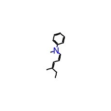 CC/C(C)=C\C=C/N(C)c1ccccc1